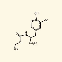 CCOC(=O)C(Cc1ccc(O)c(C(C)=O)c1)NC(=O)OCC(C)(C)C